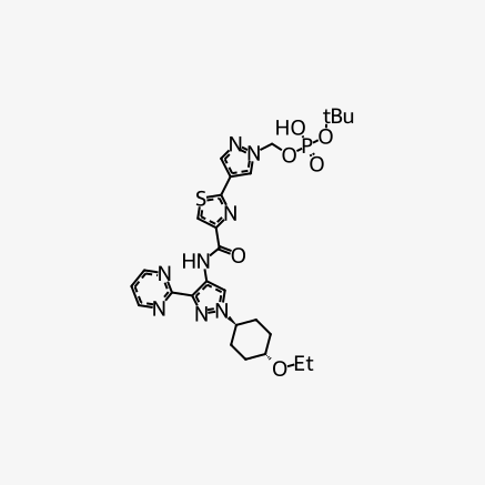 CCO[C@H]1CC[C@H](n2cc(NC(=O)c3csc(-c4cnn(COP(=O)(O)OC(C)(C)C)c4)n3)c(-c3ncccn3)n2)CC1